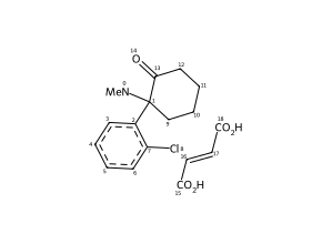 CNC1(c2ccccc2Cl)CCCCC1=O.O=C(O)C=CC(=O)O